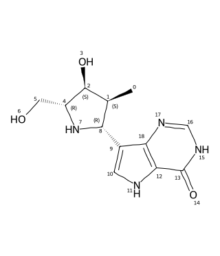 C[C@@H]1[C@H](O)[C@@H](CO)N[C@H]1c1c[nH]c2c(=O)[nH]cnc12